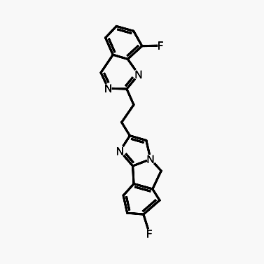 Fc1ccc2c(c1)Cn1cc(CCc3ncc4cccc(F)c4n3)nc1-2